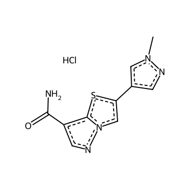 Cl.Cn1cc(-c2cn3ncc(C(N)=O)c3s2)cn1